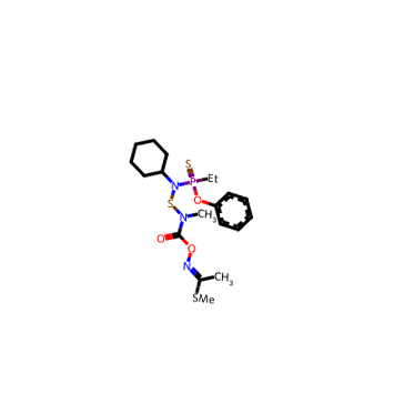 CCP(=S)(Oc1ccccc1)N(SN(C)C(=O)ON=C(C)SC)C1CCCCC1